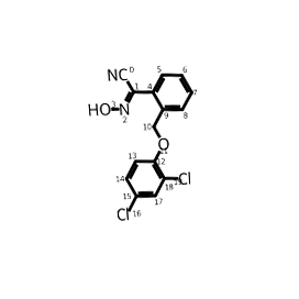 N#CC(=NO)c1ccccc1COc1ccc(Cl)cc1Cl